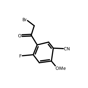 COc1cc(F)c(C(=O)CBr)cc1C#N